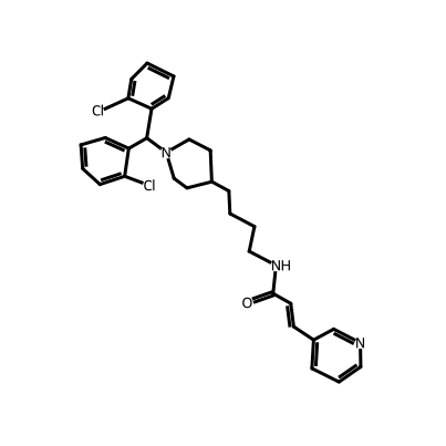 O=C(C=Cc1cccnc1)NCCCCC1CCN(C(c2ccccc2Cl)c2ccccc2Cl)CC1